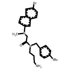 CC(=O)c1ccc2cc(N(C)CC(=O)N(CCCN)Cc3ccc(C(C)(C)C)cc3)ccc2c1